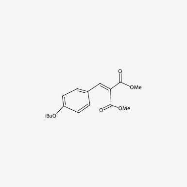 COC(=O)C(=Cc1ccc(OCC(C)C)cc1)C(=O)OC